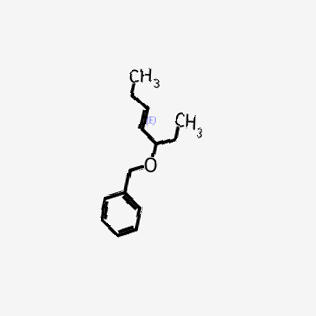 CC/C=C/C(CC)OCc1ccccc1